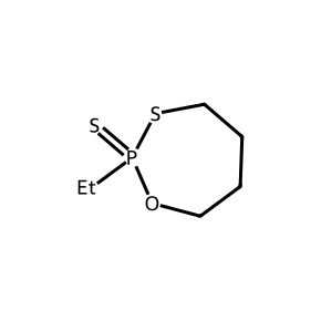 CCP1(=S)OCCCCS1